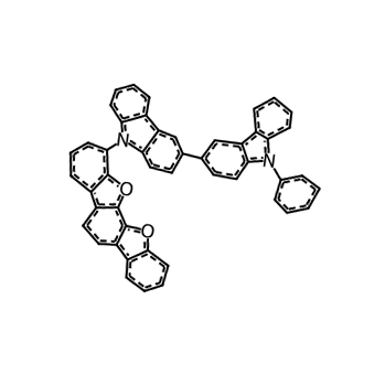 c1ccc(-n2c3ccccc3c3cc(-c4ccc5c(c4)c4ccccc4n5-c4cccc5c4oc4c5ccc5c6ccccc6oc54)ccc32)cc1